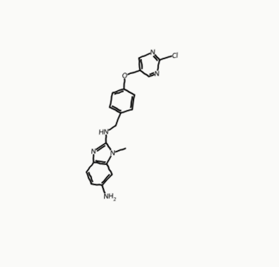 Cn1c(NCc2ccc(Oc3cnc(Cl)nc3)cc2)nc2ccc(N)cc21